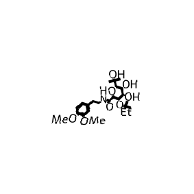 CCC(C)(C)O[C@@H]1C(C(=O)NCCc2ccc(OC)c(OC)c2)OC(C(C)(C)O)[C@@H](O)[C@H]1O